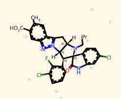 Cc1cc2c3n(nc2cc1C(=O)O)[C@@H]1[C@H](C3)N(CC(C)C)[C@@]2(C(=O)Nc3cc(Cl)ccc32)[C@H]1c1cccc(Cl)c1F